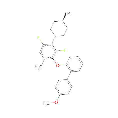 CCC[C@H]1CC[C@H](c2c(F)cc(C)c(Oc3ccccc3-c3ccc(OC(F)(F)F)cc3)c2F)CC1